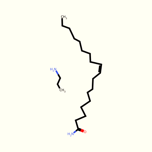 CCCCCCCC/C=C\CCCCCCCC(N)=O.CCCN